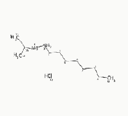 CCCCCCCC[SiH2][Mg][CH](C)C.Cl